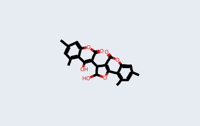 Cc1cc(C)c2c(O)c(C3c4c(c5c(C)cc(C)cc5oc4=O)OC3O)c(=O)oc2c1